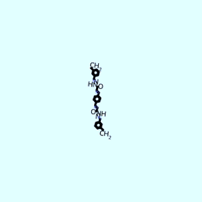 C=Cc1cccc(/C=N/NC(=O)/C=C/c2ccc(/C=C/C(=O)N/N=C/c3cccc(C=C)c3)cc2)c1